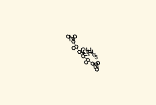 CC1(C)c2cc(-c3ccc(-c4ccc5c(c4)c4ccccc4n5-c4ccccc4)c4ccccc34)ccc2-c2ccc(-c3ccc(-c4ccc5c(c4)c4ccccc4n5-c4ccccc4)c4ccccc34)cc21